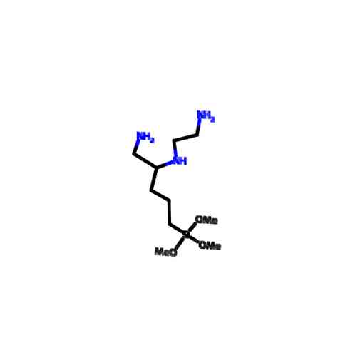 CO[Si](CCCC(CN)NCCN)(OC)OC